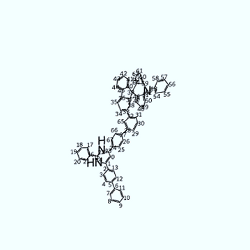 C1=C(c2ccc(-c3ccccc3)cc2)NC(c2ccccc2)NC1c1ccc(-c2cccc(-c3ccc4c(c3)C3(c5ccccc5-4)c4ccccc4N(c4ccccc4)c4ccccc43)c2)cc1